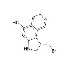 Oc1cc2c(c3ccccc13)[C@H](CBr)CN2